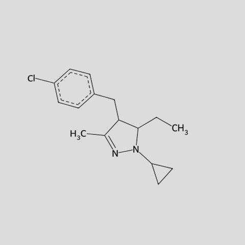 CCC1C(Cc2ccc(Cl)cc2)C(C)=NN1C1CC1